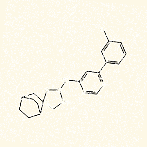 Clc1cccc(-c2cc(NN3NC[C@]4(CC5CCC4CC5)O3)ncn2)c1